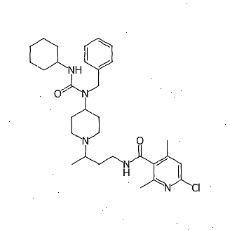 Cc1cc(Cl)nc(C)c1C(=O)NCCC(C)N1CCC(N(Cc2ccccc2)C(=O)NC2CCCCC2)CC1